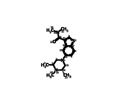 CC1CN(c2ccc3scc(C(=O)N(C)C)c3c2)C[C@H](C)N1C